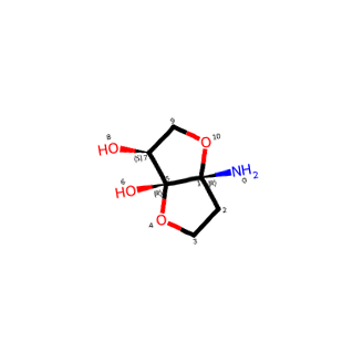 N[C@@]12CCO[C@]1(O)[C@@H](O)CO2